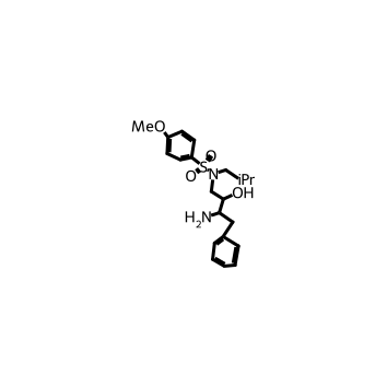 COc1ccc(S(=O)(=O)N(CC(C)C)CC(O)C(N)Cc2ccccc2)cc1